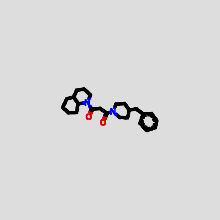 O=C(CC(=O)N1CCCC2CCCCC21)N1CCC(Cc2ccccc2)CC1